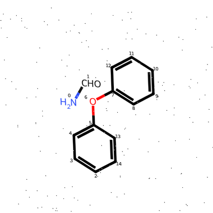 NC=O.c1ccc(Oc2ccccc2)cc1